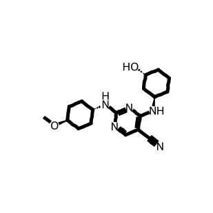 CO[C@H]1CC[C@H](Nc2ncc(C#N)c(N[C@@H]3CCC[C@@H](O)C3)n2)CC1